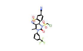 CC1=C(C#N)C(c2ccc(C#N)cc2S(C)(=O)=O)N(S(=O)(=O)CCl)C(=O)N1c1cccc(C(F)(F)F)c1